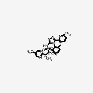 Cc1cnc([C@@H](C)[C@H](C)S(=O)(=O)Nc2nnc(-c3cccc(C)n3)n2-c2c(F)cccc2F)nc1